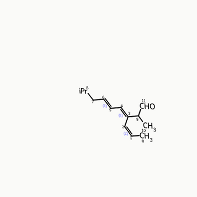 C\C=C/C(=C\C=C\CC(C)C)C(C)C=O